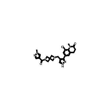 CN1C(=O)CCc2cc(-c3n[nH]cc3CN3CC4(C3)CN(C(=O)c3cnn(C)c3)C4)cc(Cl)c21